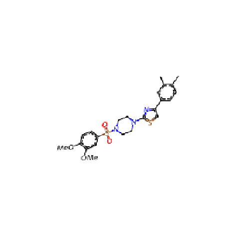 COc1ccc(S(=O)(=O)N2CCN(c3nc(-c4ccc(C)c(C)c4)cs3)CC2)cc1OC